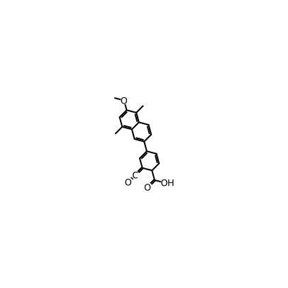 COc1cc(C)c2cc(C3=CC(=C=O)C(C(=O)O)C=C3)ccc2c1C